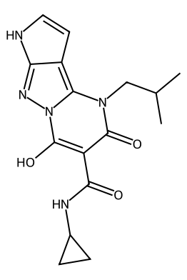 CC(C)Cn1c(=O)c(C(=O)NC2CC2)c(O)n2nc3[nH]ccc3c12